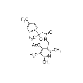 CC(=O)Oc1c(C)c(C)nc(C)c1CN1OC(c2ccc(C(F)(F)F)cc2)(C(F)(F)F)CC1=O